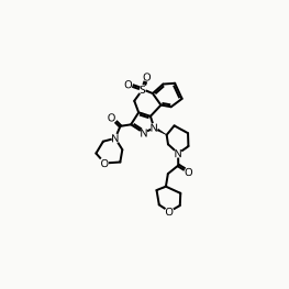 O=C(CC1CCOCC1)N1CCC[C@H](n2nc(C(=O)N3CCOCC3)c3c2-c2ccccc2S(=O)(=O)C3)C1